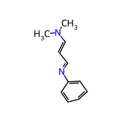 CN(C)C=CC=Nc1ccccc1